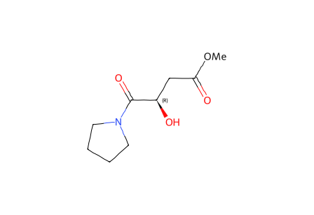 COC(=O)C[C@@H](O)C(=O)N1CCCC1